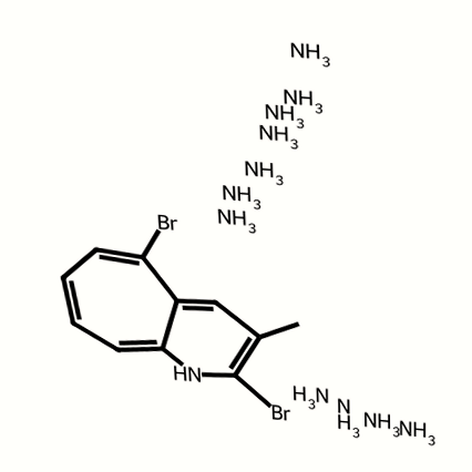 CC1=C(Br)NC2=CC=CC=C(Br)C2=C1.N.N.N.N.N.N.N.N.N.N.N